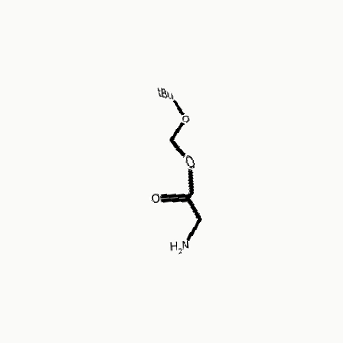 CC(C)(C)OCOC(=O)CN